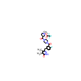 Cc1c(Cc2ccc(F)c(C(=O)N3CCN(C(=O)C4CC[N+](C)(OC(=O)C(F)(F)F)C4)CC3)c2)n[nH]c(=O)c1C